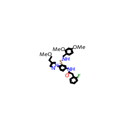 COCCc1cnn(-c2ccc(NC(=O)Cc3ccccc3F)cc2SNCc2ccc(OC)cc2OC)c1